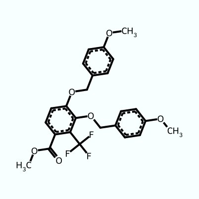 COC(=O)c1ccc(OCc2ccc(OC)cc2)c(OCc2ccc(OC)cc2)c1C(F)(F)F